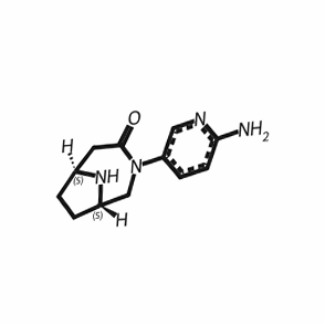 Nc1ccc(N2C[C@@H]3CC[C@@H](CC2=O)N3)cn1